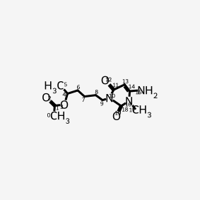 CC(=O)OC(C)CCCCn1c(=O)cc(N)n(C)c1=O